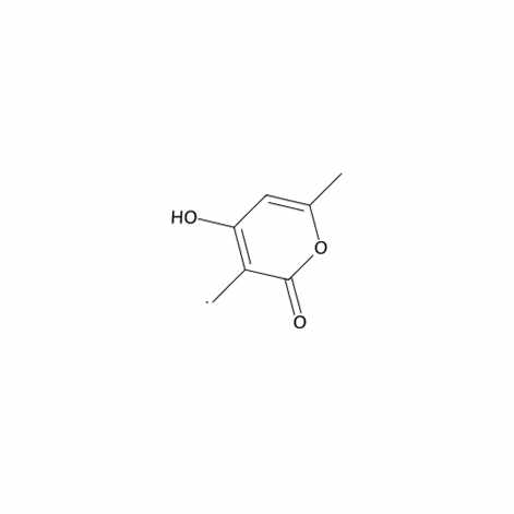 [CH2]c1c(O)cc(C)oc1=O